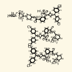 CC(C)(C)OC(=O)N1CCC(NC(=O)c2cccc(N(C3CN(C(c4ccc(Cl)cc4)c4ccc(Cl)cc4)C3)S(C)(=O)=O)c2)CC1.CCN1CCCC1CNC(=O)c1cccc(N(C2CN(C(c3ccc(Cl)cc3)c3ccc(Cl)cc3)C2)S(C)(=O)=O)c1.CCN1CCCC1CNC(=O)c1cccc(N(C2CN(C(c3ccc(Cl)cc3)c3ccc(Cl)cc3)C2)S(C)(=O)=O)c1.Cl.Cl